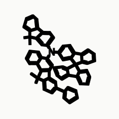 CC1(C)c2ccccc2-c2ccc(N(c3ccc4c(c3)C3(c5ccccc5-c5ccccc53)c3ccccc3-4)c3cc4c(c5ccccc35)C(C)(C)c3ccc(-c5ccccc5)cc3-4)cc21